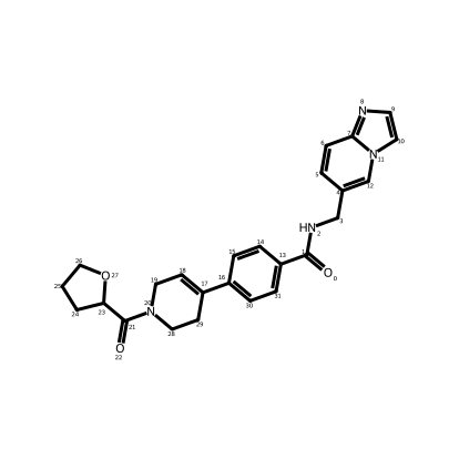 O=C(NCc1ccc2nccn2c1)c1ccc(C2=CCN(C(=O)C3CCCO3)CC2)cc1